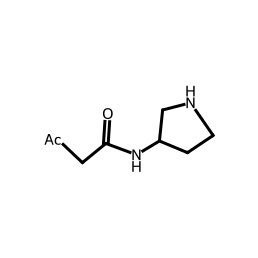 CC(=O)CC(=O)NC1CCNC1